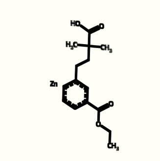 CCOC(=O)c1cccc(CCC(C)(C)C(=O)O)c1.[Zn]